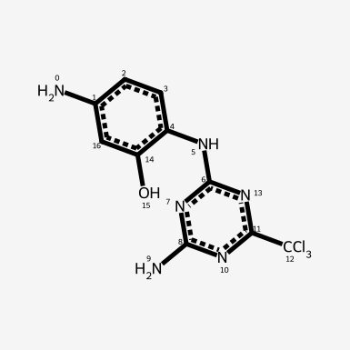 Nc1ccc(Nc2nc(N)nc(C(Cl)(Cl)Cl)n2)c(O)c1